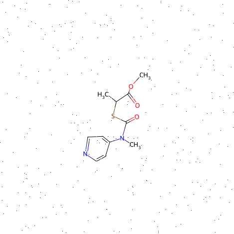 COC(=O)C(C)SC(=O)N(C)c1ccncc1